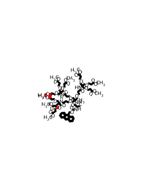 CCC(NC(=O)OCc1c2ccccc2cc2ccccc12)C(=O)NC(COCCC(=O)NC(COCCC(=O)OC)(COCCC(=O)OC)COCCC(=O)OC)(COCCC(=O)NC(COCCC(=O)OC)(COCCC(=O)OC)COCCC(=O)OC)COCCC(=O)NC(COCCC(=O)OC)(COCCC(=O)OC)COCCC(=O)OC